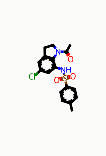 CC(=O)N1CCc2cc(Cl)cc(NS(=O)(=O)c3ccc(C)cc3)c21